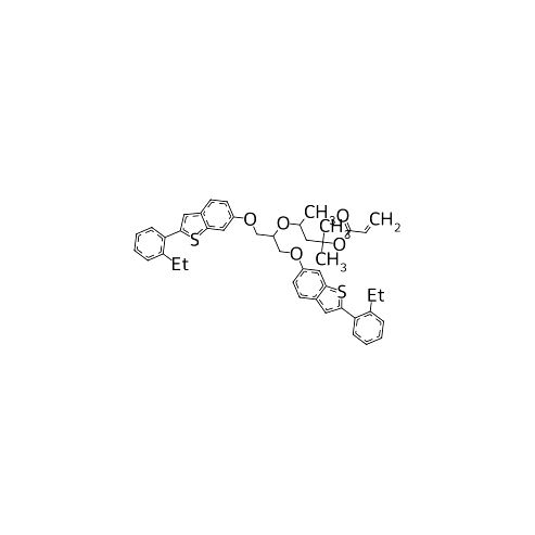 C=CC(=O)OC(C)(C)CC(C)OC(COc1ccc2cc(-c3ccccc3CC)sc2c1)COc1ccc2cc(-c3ccccc3CC)sc2c1